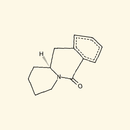 O=C1c2ccccc2C[C@@H]2CCCCN12